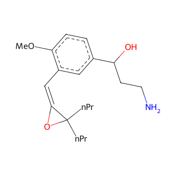 CCCC1(CCC)OC1=Cc1cc(C(O)CCN)ccc1OC